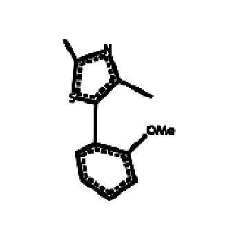 COc1ccccc1-c1sc(C)nc1C